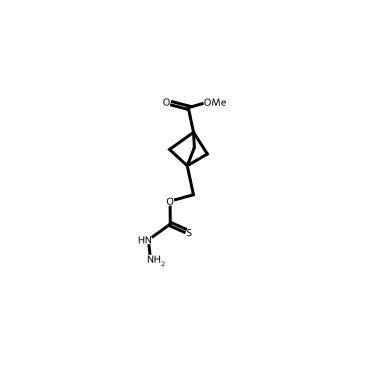 COC(=O)C12CC(COC(=S)NN)(C1)C2